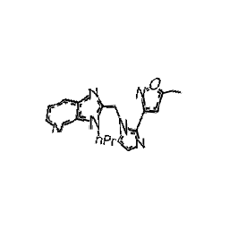 CCCn1c(Cn2ccnc2-c2cc(C)on2)nc2cccnc21